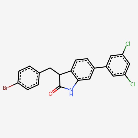 O=C1Nc2cc(-c3cc(Cl)cc(Cl)c3)ccc2C1Cc1ccc(Br)cc1